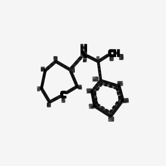 CC(NC1CCCCCC1)c1ccccc1